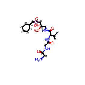 CC(C)C(NC(=O)CNC(=O)CN)C(=O)NCC(O)CP(=O)(O)CC1CCCCC1